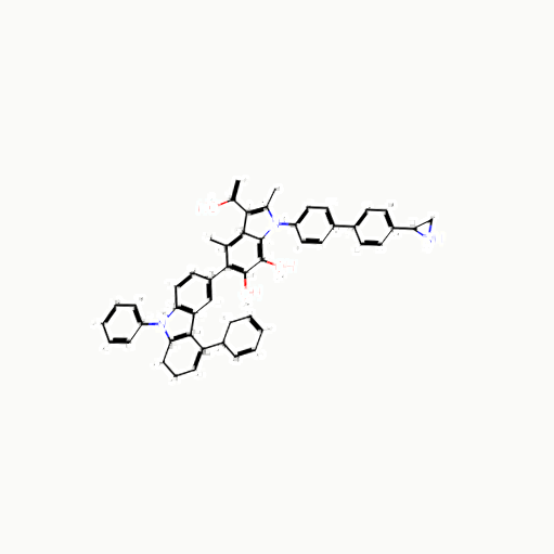 C=C(O)c1c(C)n(-c2ccc(-c3ccc(C4CN4)cc3)cc2)c2c(O)c(O)c(-c3ccc4c(c3)c3c(n4-c4ccccc4)CCC=C3C3C=CC=CC3)c(C)c12